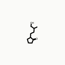 CC(CO)CCC1CCCC1=O